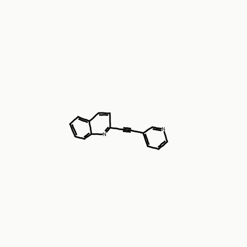 C(#Cc1ccc2ccccc2n1)c1cccnc1